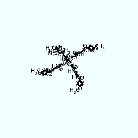 COc1ccc(C(=O)NCCCNC(=O)CCOCC(COCCC(=O)NCCCNC(=O)c2ccc(OC)cc2)(COCCC(=O)NCCCNC(=O)c2ccc(OC)cc2)NC(=O)CCC(C)CC(C)C(=O)C(C)(C)C)cc1